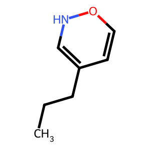 CCCC1=CNOC=C1